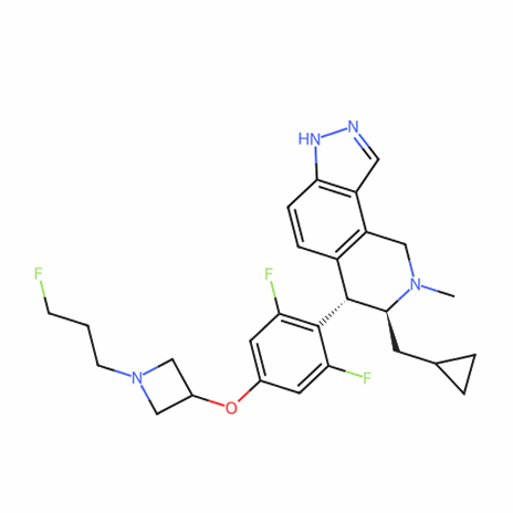 CN1Cc2c(ccc3[nH]ncc23)[C@@H](c2c(F)cc(OC3CN(CCCF)C3)cc2F)[C@@H]1CC1CC1